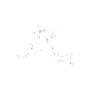 COc1ccc2c(O[C@@H]3C[C@H]4C(=O)N[C@]5(C(=O)O)CC5CCCCCCC[C@H](NC(=O)NC5(CS(=O)(=O)C6CC6)CCCCC5)C(=O)N4C3)cc(-c3csc(NC(C)C)n3)nc2c1